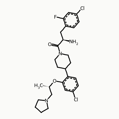 C[C@@H](CN1CCCC1)Oc1cc(Cl)ccc1C1CCN(C(=O)[C@H](N)Cc2ccc(Cl)cc2F)CC1